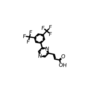 O=C(O)C=Cc1cncc(-c2cc(C(F)(F)F)cc(C(F)(F)F)c2)n1